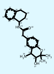 CC1(C)Oc2ccc(CC(=O)NC3CCCc4ccccc43)cc2C(N)C1O